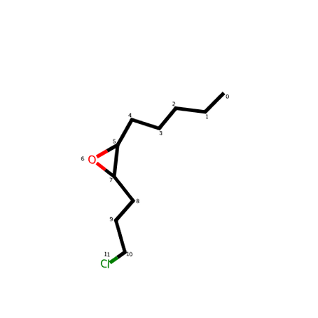 CCCCCC1OC1CCCCl